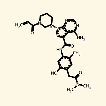 C=CC(=O)N1CCC[C@@H](n2nc(C(=O)Nc3cc(C#N)c(CC(=O)N(C)C)cc3C)c3c(N)ncnc32)C1